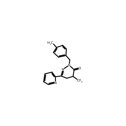 Cc1ccc(CN2N=C(c3ccccn3)CC(C(F)(F)F)C2=O)cc1